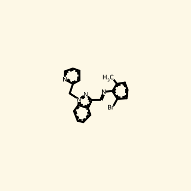 Cc1cccc(Br)c1/N=C/c1nn(Cc2ccccn2)c2ccccc12